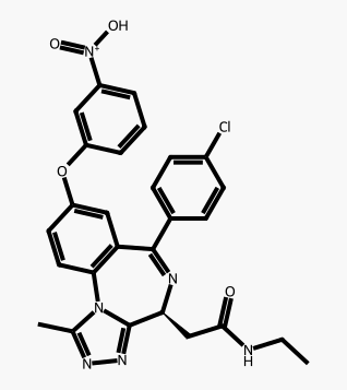 CCNC(=O)C[C@@H]1N=C(c2ccc(Cl)cc2)c2cc(Oc3cccc([N+](=O)O)c3)ccc2-n2c(C)nnc21